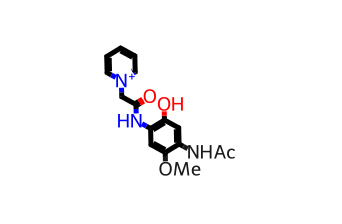 COc1cc(NC(=O)C[n+]2ccccc2)c(O)cc1NC(C)=O